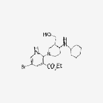 CCOC(=O)C1=CC(Br)=CNC1N1CCC(NC2CCCCC2)C(CO)C1